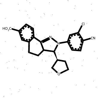 N#Cc1ccc(N2N=C3c4ccc(C(=O)O)cc4CCC3C2[C@H]2CCOC2)cc1Cl